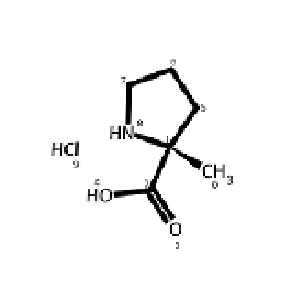 C[C@]1(C(=O)O)CCCN1.Cl